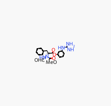 COC(=O)N(NC=O)[C@@H](Cc1ccccc1)C(=O)Oc1cccc(NC(=N)N)c1